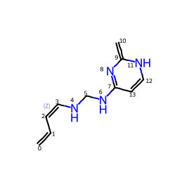 C=C/C=C\NCNC1=NC(=C)NC=C1